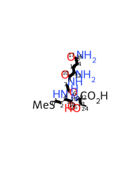 CSCC[C@H](NC(=O)CNC(=O)[C@@H](N)CCC(N)=O)C(=O)N[C@H](C(=O)O)[C@@H](C)O